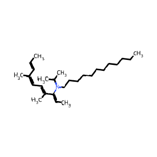 C/C=C(/C(C)=C/C=C(C)\C=C\C)N(CCCCCCCCCCCC)C(C)C